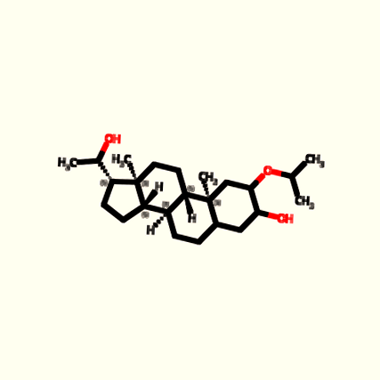 CC(C)OC1C[C@@]2(C)C(CC[C@H]3[C@@H]4CC[C@H](C(C)O)[C@@]4(C)CC[C@@H]32)CC1O